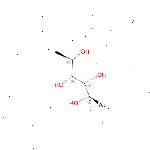 CC(=O)[C@@H](O)[C@@H](O)[C@H](O)[C@@H](C)O